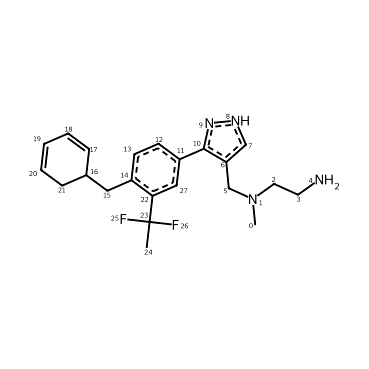 CN(CCN)Cc1c[nH]nc1-c1ccc(CC2C=CC=CC2)c(C(C)(F)F)c1